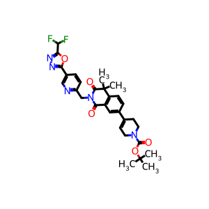 CC(C)(C)OC(=O)N1CC=C(c2ccc3c(c2)C(=O)N(Cc2ccc(-c4nnc(C(F)F)o4)cn2)C(=O)C3(C)C)CC1